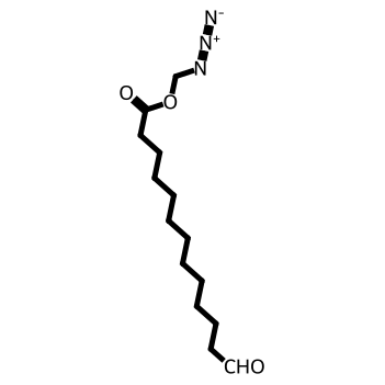 [N-]=[N+]=NCOC(=O)CCCCCCCCCCCC=O